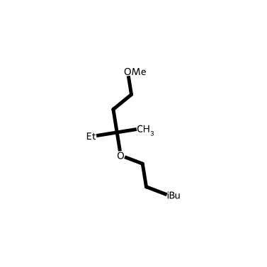 CCC(C)CCOC(C)(CC)CCOC